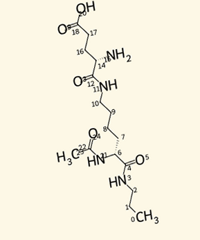 CCCNC(=O)[C@@H](CCCCNC(=O)[C@@H](N)CCC(=O)O)NC(C)=O